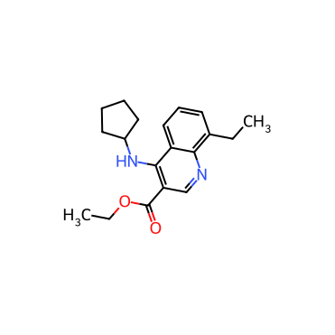 CCOC(=O)c1cnc2c(CC)cccc2c1NC1CCCC1